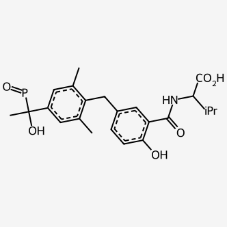 Cc1cc(C(C)(O)P=O)cc(C)c1Cc1ccc(O)c(C(=O)NC(C(=O)O)C(C)C)c1